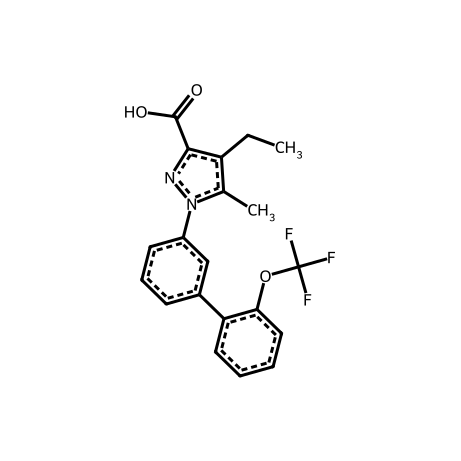 CCc1c(C(=O)O)nn(-c2cccc(-c3ccccc3OC(F)(F)F)c2)c1C